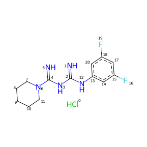 Cl.N=C(NC(=N)N1CCCCC1)Nc1cc(F)cc(F)c1